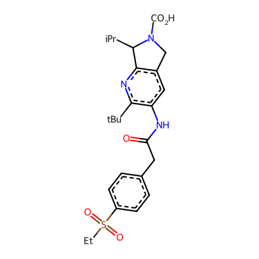 CCS(=O)(=O)c1ccc(CC(=O)Nc2cc3c(nc2C(C)(C)C)C(C(C)C)N(C(=O)O)C3)cc1